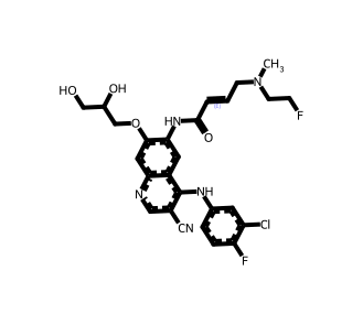 CN(C/C=C/C(=O)Nc1cc2c(Nc3ccc(F)c(Cl)c3)c(C#N)cnc2cc1OCC(O)CO)CCF